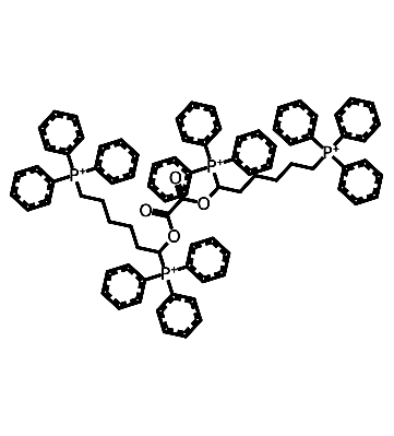 O=C(OC(CCCCC[P+](c1ccccc1)(c1ccccc1)c1ccccc1)[P+](c1ccccc1)(c1ccccc1)c1ccccc1)C(=O)OC(CCCCC[P+](c1ccccc1)(c1ccccc1)c1ccccc1)[P+](c1ccccc1)(c1ccccc1)c1ccccc1